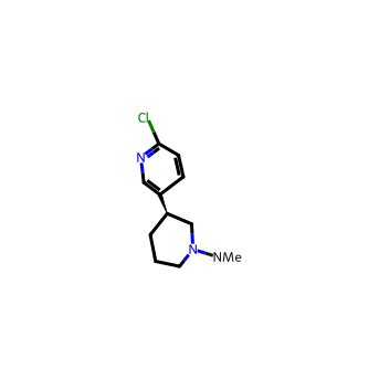 CNN1CCC[C@@H](c2ccc(Cl)nc2)C1